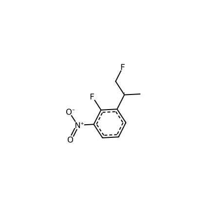 C[C](CF)c1cccc([N+](=O)[O-])c1F